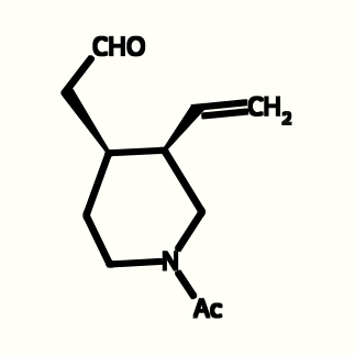 C=C[C@H]1CN(C(C)=O)CC[C@H]1CC=O